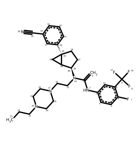 C=C(Nc1ccc(F)c(C(F)(F)F)c1)N(CCN1CCN(CCC)CC1)[C@@H]1CC[C@]2(c3cccc(C#N)c3)CC12